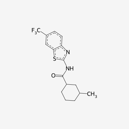 CC1CCCC(C(=O)Nc2nc3ccc(C(F)(F)F)cc3s2)C1